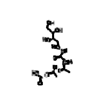 CC(=O)O.CC(=O)O.CC(=O)O.O=CO.OCC(O)C(O)CO